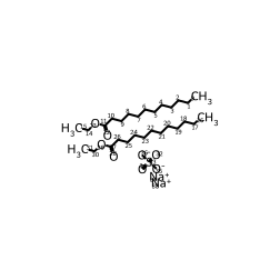 CCCCCCCCCCCC(=O)OCC.CCCCCCCCCCCC(=O)OCC.O=S(=O)([O-])[O-].[Na+].[Na+]